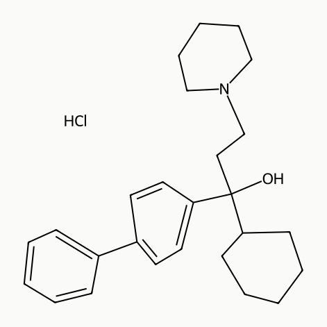 Cl.OC(CCN1CCCCC1)(c1ccc(-c2ccccc2)cc1)C1CCCCC1